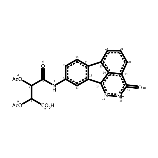 CC(=O)OC(C(=O)O)C(OC(C)=O)C(=O)Nc1ccc2c(c1)-c1n[nH]c(=O)c3cccc-2c13